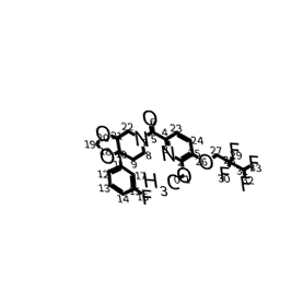 COc1nc(C(=O)N2CC[C@]3(c4cccc(F)c4)OCOC3C2)ccc1OCC(F)(F)C(F)F